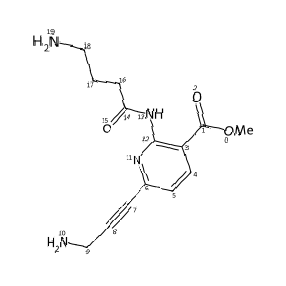 COC(=O)c1ccc(C#CCN)nc1NC(=O)CCCN